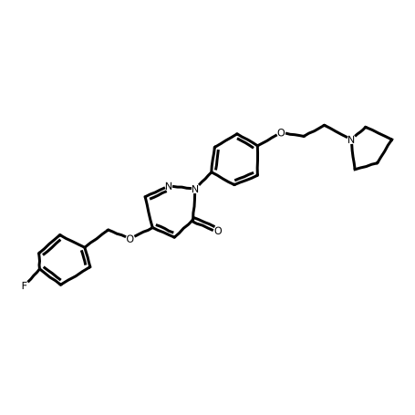 O=c1cc(OCc2ccc(F)cc2)cnn1-c1ccc(OCCN2CCCC2)cc1